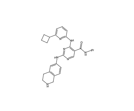 CC(C)NC(=O)c1cnc(Nc2ccc3c(c2)CCNC3)nc1Nc1cccc(C2CCC2)n1